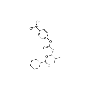 CC(C)C(OC(=O)Oc1ccc([N+](=O)[O-])cc1)OC(=O)C1CCCCC1